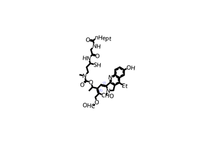 CCCCCCCC(=O)NCC(=O)NC(S)CCN(C)C(=O)OC(C)C(/C=C1/c2nc3ccc(O)cc3c(CC)c2CN1C)=C(/C=O)COC=O